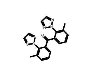 Cc1cccc(C(=O)c2cccc(C)c2-n2nccn2)c1-n1nccn1